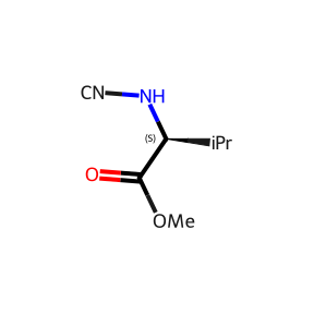 [C-]#[N+]N[C@H](C(=O)OC)C(C)C